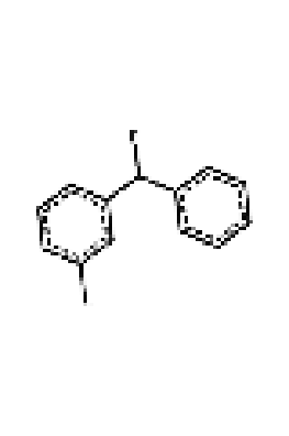 [CH2]c1cccc(C(F)c2ccccc2)c1